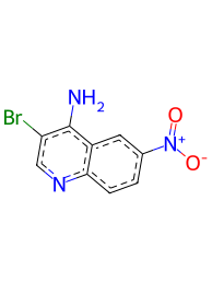 Nc1c(Br)cnc2ccc([N+](=O)[O-])cc12